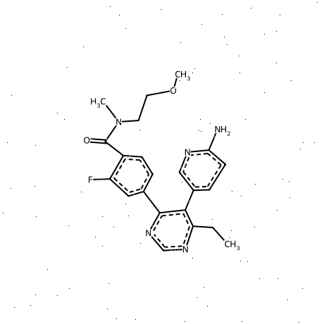 CCc1ncnc(-c2ccc(C(=O)N(C)CCOC)c(F)c2)c1-c1ccc(N)nc1